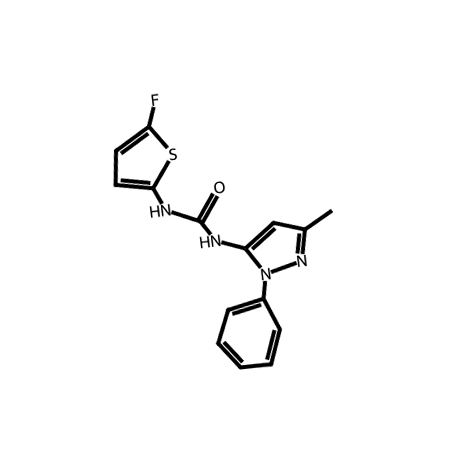 Cc1cc(NC(=O)Nc2ccc(F)s2)n(-c2ccccc2)n1